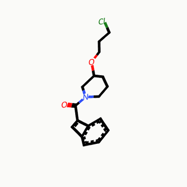 O=C(C1=Cc2ccccc21)N1CCCC(OCCCCl)C1